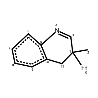 CCC1(C)C=Nc2ccccc2C1